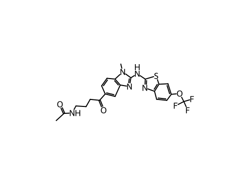 CC(=O)NCCCC(=O)c1ccc2c(c1)nc(Nc1nc3ccc(OC(F)(F)F)cc3s1)n2C